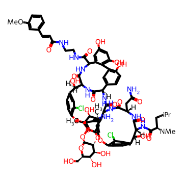 CN[C@H](CC(C)C)C(=O)N[C@H]1C(=O)N[C@@H](CC(N)=O)C(=O)NC2C(=O)N[C@H]3C(=O)N[C@H](C(=O)NC(C(=O)NCCNC(=O)/C=C/c4cccc(OC)c4)c4cc(O)cc(O)c4-c4cc3ccc4O)[C@H](O)c3ccc(c(Cl)c3)Oc3cc2cc(c3O[C@@H]2O[C@H](CO)[C@@H](O)[C@H](O)[C@H]2OC2C[C@](C)(N)[C@H](O)[C@H](C)O2)Oc2ccc(cc2Cl)[C@H]1O